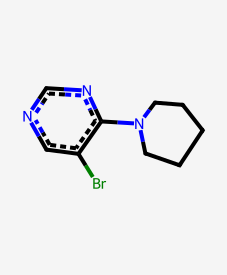 Brc1cncnc1N1CCCCC1